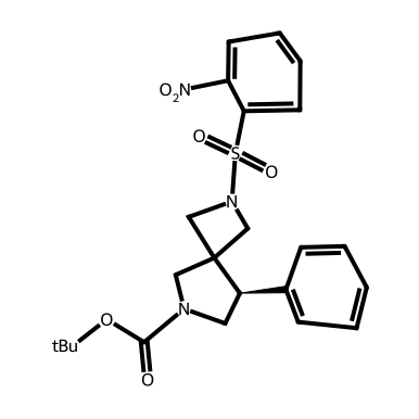 CC(C)(C)OC(=O)N1C[C@H](c2ccccc2)C2(C1)CN(S(=O)(=O)c1ccccc1[N+](=O)[O-])C2